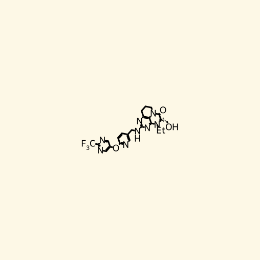 CCN1c2nc(NCc3ccc(Oc4cnc(C(F)(F)F)nc4)nc3)nc3c2N(CCC3)C(=O)[C@@H]1CO